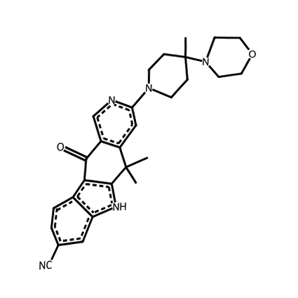 CC1(C)c2cc(N3CCC(C)(N4CCOCC4)CC3)ncc2C(=O)c2c1[nH]c1cc(C#N)ccc21